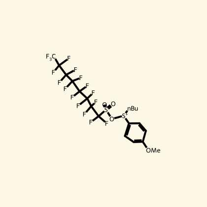 CCCC[S+](OS(=O)(=O)C(F)(F)C(F)(F)C(F)(F)C(F)(F)C(F)(F)C(F)(F)C(F)(F)C(F)(F)F)c1ccc(OC)cc1